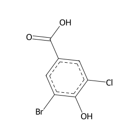 O=C(O)c1cc(Cl)c(O)c(Br)c1